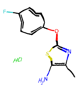 Cc1nc(Oc2ccc(F)cc2)sc1N.Cl